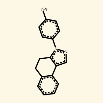 CCCc1ccc(-n2ncc3c2CCc2c[c]ccc2-3)cc1